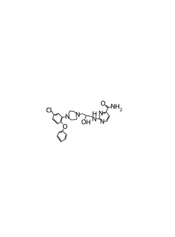 NC(=O)c1ccnc(NCC(O)CN2CCN(c3cc(Cl)ccc3Oc3ccccc3)CC2)n1